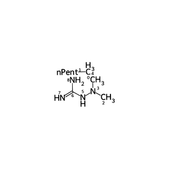 CCCCCC.CN(C)NC(=N)N